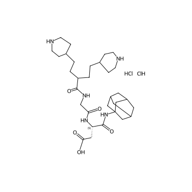 Cl.Cl.O=C(O)C[C@H](NC(=O)CNC(=O)C(CCC1CCNCC1)CCC1CCNCC1)C(=O)NC12CC3CC(CC(C3)C1)C2